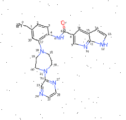 CC(C)c1ccc(NC(=O)c2cnc3[nH]ccc3c2)c(N2CCN(c3cnccn3)CC2)c1